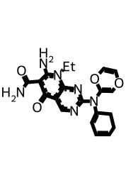 CCn1c(N)c(C(N)=O)c(=O)c2cnc(N(C3=CC=CCC3)C3=COC=CO3)nc21